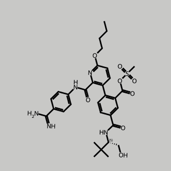 CCCCOc1ccc(-c2ccc(C(=O)N[C@H](CO)C(C)(C)C)cc2C(=O)OS(C)(=O)=O)c(C(=O)Nc2ccc(C(=N)N)cc2)n1